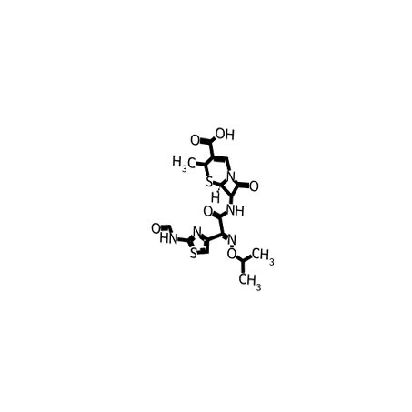 CC(C)ON=C(C(=O)NC1C(=O)N2C=C(C(=O)O)C(C)S[C@H]12)c1csc(NC=O)n1